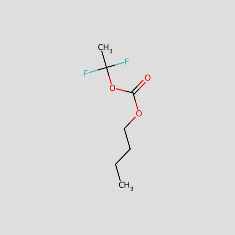 CCCCOC(=O)OC(C)(F)F